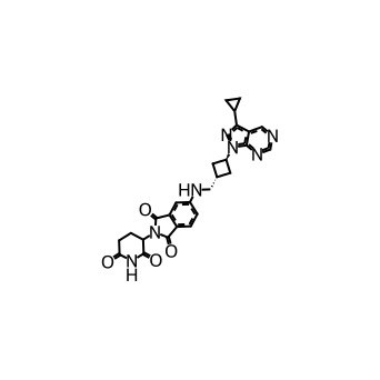 O=C1CCC(N2C(=O)c3ccc(NC[C@H]4C[C@H](n5nc(C6CC6)c6cncnc65)C4)cc3C2=O)C(=O)N1